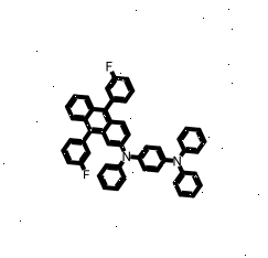 Fc1cccc(-c2c3ccccc3c(-c3cccc(F)c3)c3cc(N(c4ccccc4)c4ccc(N(c5ccccc5)c5ccccc5)cc4)ccc23)c1